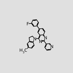 Cc1ccc2c(c1)CCN2c1nc(-c2cccnc2)nc2ccc(-c3cccc(F)c3)cc12